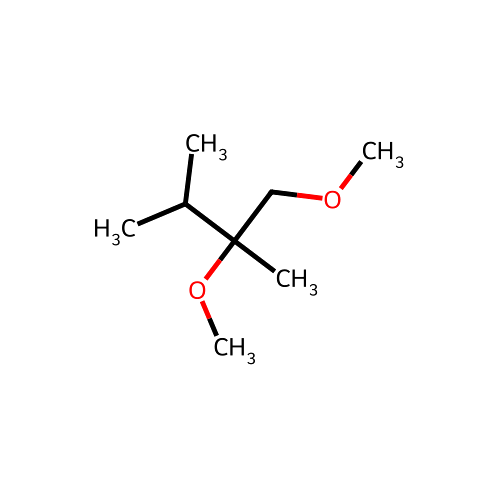 COCC(C)(OC)C(C)C